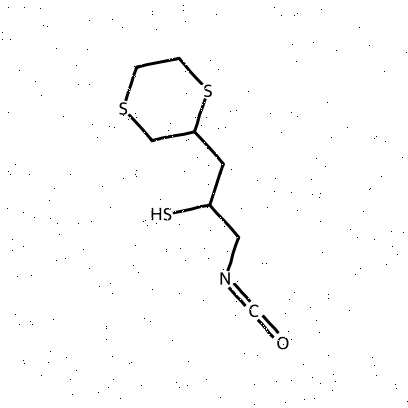 O=C=NCC(S)CC1CSCCS1